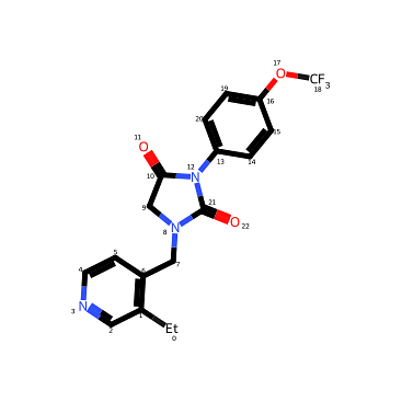 CCc1cnccc1CN1CC(=O)N(c2ccc(OC(F)(F)F)cc2)C1=O